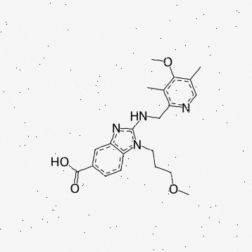 COCCCn1c(NCc2ncc(C)c(OC)c2C)nc2cc(C(=O)O)ccc21